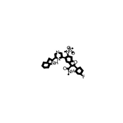 CNC(=O)c1c(-c2ccc(F)cc2)oc2cc(N(C)S(C)(=O)=O)c(-c3cncc(-c4cc5ccccc5[nH]4)n3)cc12